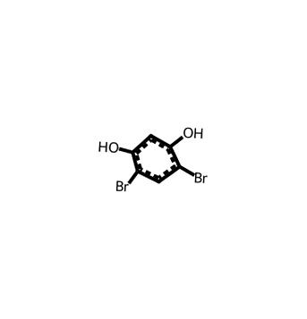 Oc1cc(O)c(Br)cc1Br